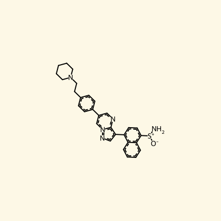 N[S+]([O-])c1ccc(-c2cnn3cc(-c4ccc(CCN5CCCCC5)cc4)cnc23)c2ccccc12